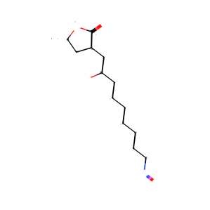 C[C@H]1CC(CC(O)CCCCCCCN=O)C(=O)O1